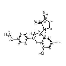 COc1ccc(OCc2c(Cl)cc(F)cc2[C@H](C)N2CC[C@H](O)C2=O)cc1